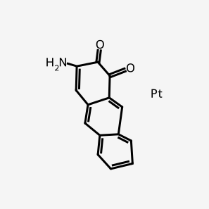 NC1=Cc2cc3ccccc3cc2C(=O)C1=O.[Pt]